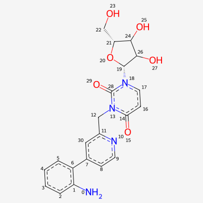 Nc1ccccc1-c1ccnc(Cn2c(=O)ccn([C@@H]3O[C@H](CO)C(O)C3O)c2=O)c1